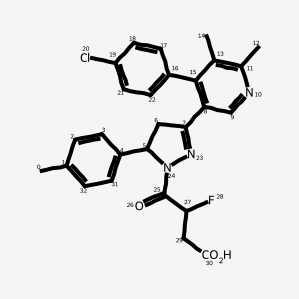 Cc1ccc(C2CC(c3cnc(C)c(C)c3-c3ccc(Cl)cc3)=NN2C(=O)C(F)CC(=O)O)cc1